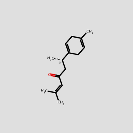 CC(C)=CC(=O)C[C@H](C)C1=CCC(C)=CC1